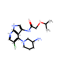 CC(C)OCC(=O)Nc1c[nH]c2ncc(Cl)c(N3CCCC(N)C3)c12